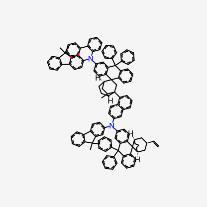 C=C[C@@H]1C[C@H]2CCC[C@@H](C1)C21c2ccccc2C(c2ccccc2)(c2ccccc2)c2cc(N(c3ccc4c(c3)C(C)(C)c3ccccc3-4)c3ccc4c(C56CCC[C@H](C[C@H]5C)C5(C6)c6ccccc6C(c6ccccc6)(c6ccccc6)c6cc(N(c7ccc8c(c7)C(C)(C)c7ccccc7-8)c7ccccc7-c7ccccc7)ccc65)cccc4c3)ccc21